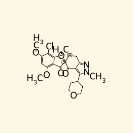 COc1cc(OC)c2c(c1Cl)O[C@]1(C2=O)C(=O)c2c(nn(C)c2C2CCOCC2)C[C@H]1C